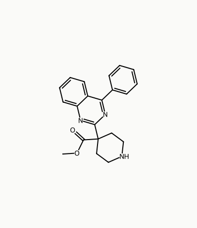 COC(=O)C1(c2nc(-c3ccccc3)c3ccccc3n2)CCNCC1